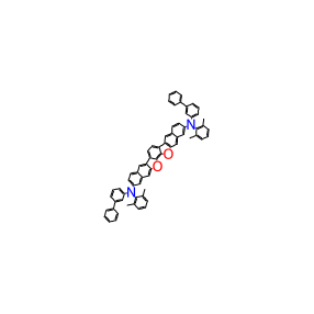 Cc1cccc(C)c1N(c1cccc(-c2ccccc2)c1)c1ccc2cc3c(cc2c1)oc1c3ccc2c3cc4ccc(N(c5cccc(-c6ccccc6)c5)c5c(C)cccc5C)cc4cc3oc21